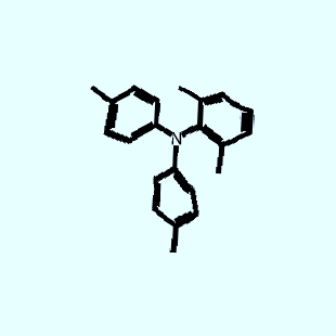 Cc1ccc(N(c2ccc(C)cc2)c2c(C)cccc2C)cc1